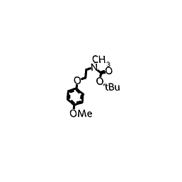 COc1ccc(OCCN(C)C(=O)OC(C)(C)C)cc1